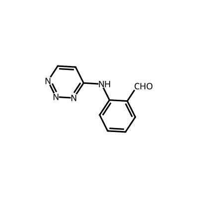 O=Cc1ccccc1Nc1ccnnn1